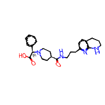 O=C(NCCCc1ccc2c(n1)NCCC2)C1CCN([C@@H](C(=O)O)c2ccccc2)CC1